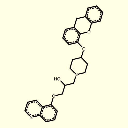 OC(COc1cccc2ncccc12)CN1CCC(Oc2cccc3c2Oc2ccccc2C3)CC1